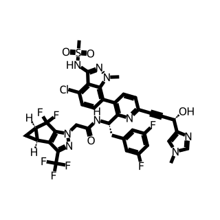 Cn1cnc([C@@H](O)C#Cc2ccc(-c3ccc(Cl)c4c(NS(C)(=O)=O)nn(C)c34)c([C@H](Cc3cc(F)cc(F)c3)NC(=O)Cn3nc(C(F)(F)F)c4c3C(F)(F)[C@@H]3C[C@H]43)n2)c1